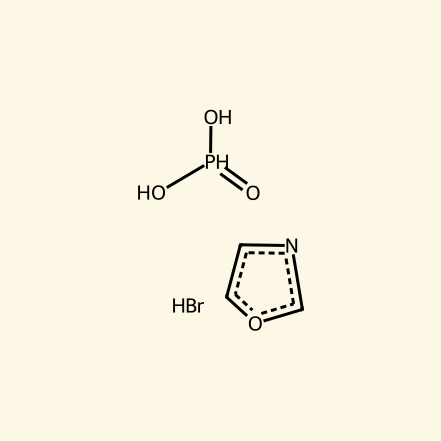 Br.O=[PH](O)O.c1cocn1